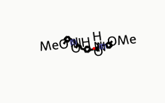 COc1cccc(/C=N/NC(=O)CCc2ccc(CCC(=O)N/N=C/c3cccc(OC)c3)cc2)c1